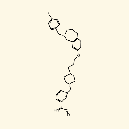 CCOC(=N)c1cccc(CN2CCC(CCCOc3ccc4c(c3)CN(Cc3ccc(F)cc3)CCC4)CC2)c1